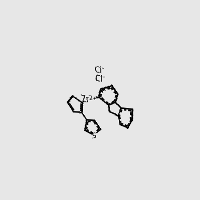 C1=CC(c2ccsc2)=[C]([Zr+2][c]2cccc3c2Cc2ccccc2-3)C1.[Cl-].[Cl-]